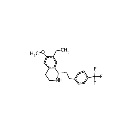 CCc1cc2c(cc1OC)CCN[C@H]2CCc1ccc(C(F)(F)F)cc1